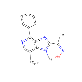 CCOC(=O)c1cnc(-c2ccccc2)c2nc(/C(C#N)=N\O)n(C(C)C)c12